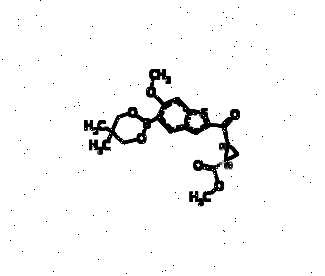 COC(=O)[C@H]1C[C@@H]1C(=O)c1cc2cc(B3OCC(C)(C)CO3)c(OC)cc2s1